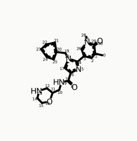 Cc1cc(-c2nc(C(=O)NCC3CNCCO3)cn2Cc2ccccc2)cn(C)c1=O